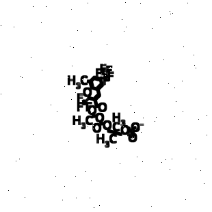 Cc1cc(S(F)(F)(F)(F)F)cc2c1O[C@H](C(F)(F)F)C(C(=O)OC(C)OC(=O)OCC(C)(C)CO[N+](=O)[O-])=C2